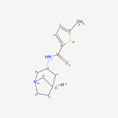 Cc1ccc(C(=O)N[C@@H]2C[C@H]3CCN(C3)C2)s1